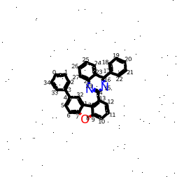 c1ccc(-c2ccc3oc4cccc(-c5nc(-c6ccccc6)c6ccccc6n5)c4c3c2)cc1